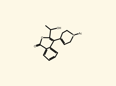 CC(=O)N1CC=C(c2c(C(C)O)oc(=O)c3ccccc23)CC1